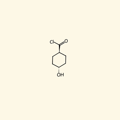 O=C(Cl)[C@H]1CC[C@H](O)CC1